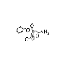 NC(=O)C[C@@H](C(=O)OCc1ccccc1)N1OC1=O